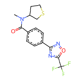 CN(C(=O)c1ccc(-c2noc(C(F)(F)F)n2)cc1)C1CCSC1